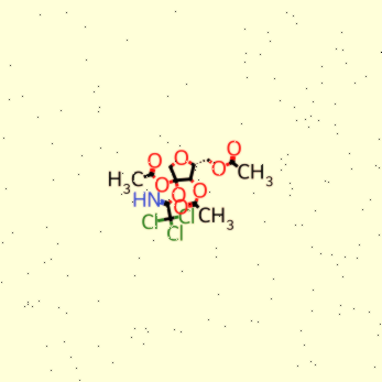 CC(=O)OC[C@H]1OCC(OC(=N)C(Cl)(Cl)Cl)(OC(C)=O)C1OC(C)=O